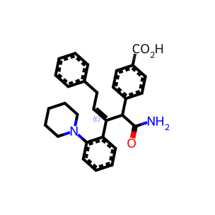 NC(=O)C(/C(=C\Cc1ccccc1)c1ccccc1N1CCCCC1)c1ccc(C(=O)O)cc1